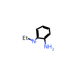 CC[N]c1ccccc1N